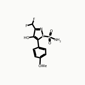 COc1ccc(-c2c(O)c(C(F)F)nn2S(N)(=O)=O)cc1